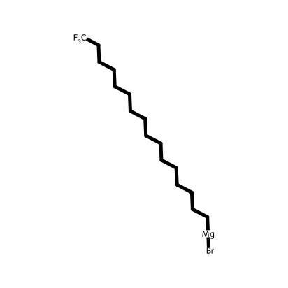 FC(F)(F)CCCCCCCCCCCCCC[CH2][Mg][Br]